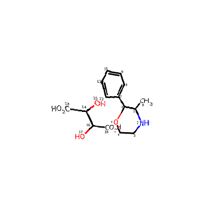 CC1NCCOC1c1ccccc1.O=C(O)C(O)C(O)C(=O)O